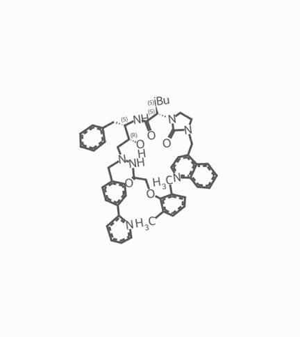 CC[C@H](C)[C@@H](C(=O)N[C@@H](Cc1ccccc1)[C@H](O)CN(Cc1ccc(-c2ccccn2)cc1)NC(=O)COc1c(C)cccc1C)N1CCN(Cc2ccnc3ccccc23)C1=O